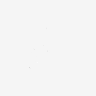 CC(C)(c1ccc(-c2ccccc2)c(F)c1)c1cc(N=[C]N2CCCC2)on1